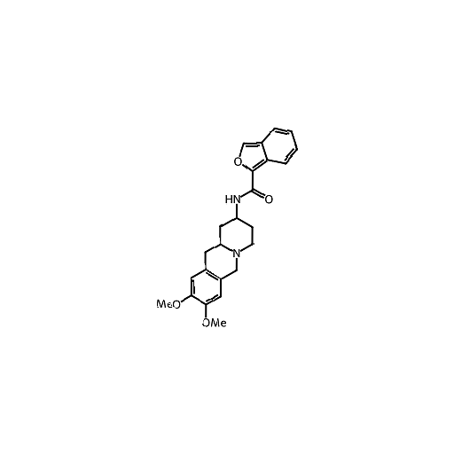 COc1cc2c(cc1OC)CN1CCC(NC(=O)c3occ4ccccc34)CC1C2